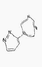 c1cnnc(-[n+]2cncnc2)c1